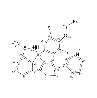 Cc1cc(C2(c3cccc(-c4cnccn4)c3)NC(N)c3ncccc32)cc(C)c1OCF